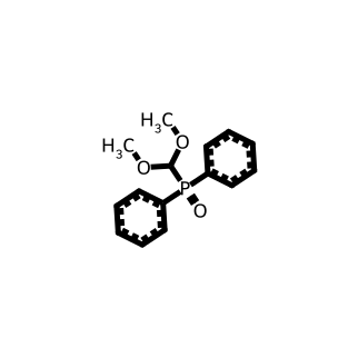 COC(OC)P(=O)(c1ccccc1)c1ccccc1